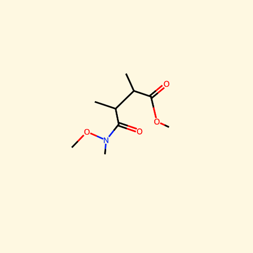 COC(=O)C(C)C(C)C(=O)N(C)OC